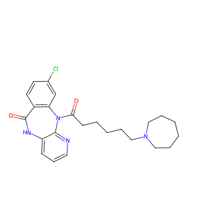 O=C1Nc2cccnc2N(C(=O)CCCCCN2CCCCCC2)c2cc(Cl)ccc21